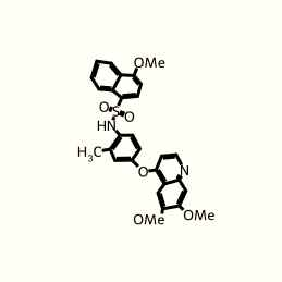 COc1cc2nccc(Oc3ccc(NS(=O)(=O)c4ccc(OC)c5ccccc45)c(C)c3)c2cc1OC